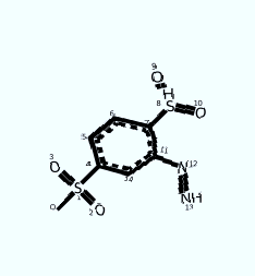 CS(=O)(=O)c1ccc([SH](=O)=O)c(N=N)c1